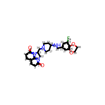 O=c1ccc2ccc(=O)n3c2n1CC3CN1CCC(NCc2cc(F)c3c(c2)OCCO3)CC1